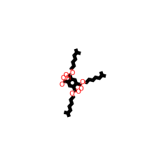 CC(C)CCCCCOC(=O)C1CC(C(=O)OCCCCCC(C)C)C(C(=O)OCCCCCC(C)C)CC1C(=O)O